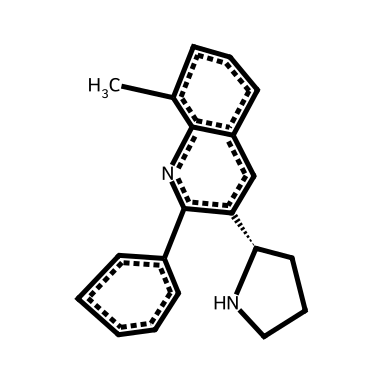 Cc1cccc2cc([C@@H]3CCCN3)c(-c3ccccc3)nc12